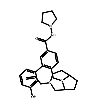 C=CCN1CCC2CCC(C1)N2Cc1ccc(C(=O)NN2CCCC2)cc1-c1cccc(O)c1